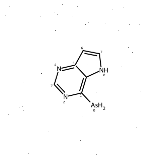 [AsH2]c1ncnc2cc[nH]c12